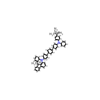 CC1(C)c2ccccc2-c2cccc(N(c3ccccc3)c3ccc(-c4ccc(-c5ccc(N(c6ccccc6)c6ccc([Si](C)(C)C)cc6)cc5)cc4)cc3)c21